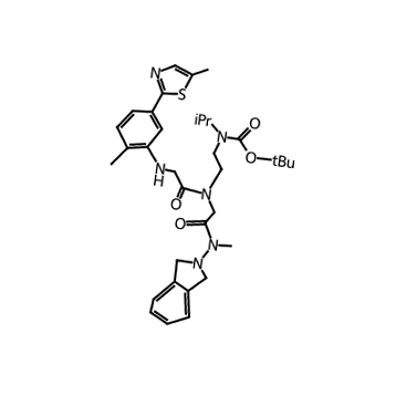 Cc1cnc(-c2ccc(C)c(NCC(=O)N(CCN(C(=O)OC(C)(C)C)C(C)C)CC(=O)N(C)N3Cc4ccccc4C3)c2)s1